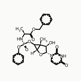 C[C@H](N[P@](=O)(Oc1ccccc1)OC1[C@H]2O[C@@H](n3ccc(=O)[nH]c3=O)[C@H](O)[C@@]12C)C(=O)OCc1ccccc1